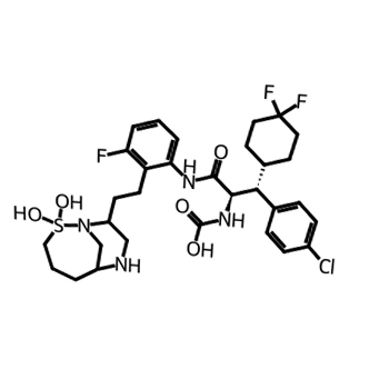 O=C(O)N[C@@H](C(=O)Nc1cccc(F)c1CCC1CNC2CCCS(O)(O)N1C2)[C@@H](c1ccc(Cl)cc1)C1CCC(F)(F)CC1